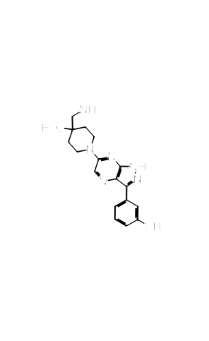 Cc1cccc(-c2n[nH]c3nc(N4CCC(C)(CN)CC4)cnc23)c1